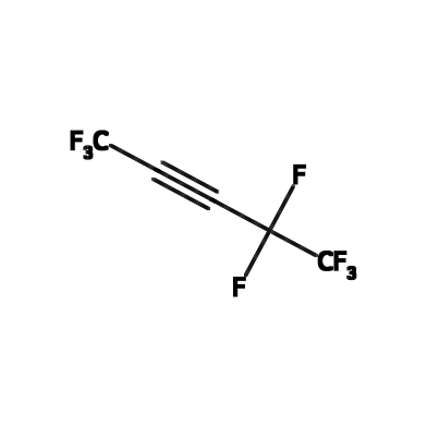 FC(F)(F)C#CC(F)(F)C(F)(F)F